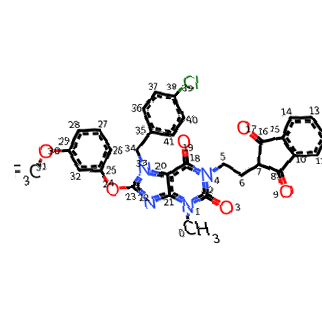 Cn1c(=O)n(CCC2C(=O)c3ccccc3C2=O)c(=O)c2c1nc(Oc1cccc(OC(F)(F)F)c1)n2Cc1ccc(Cl)cc1